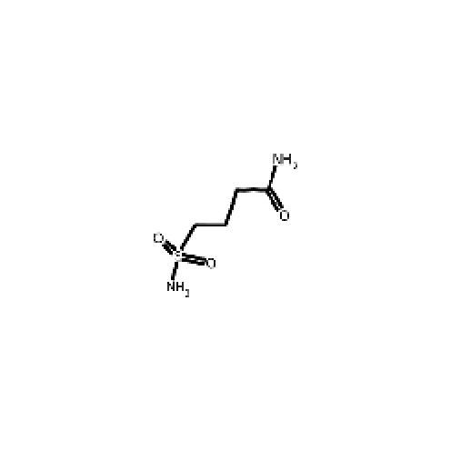 NC(=O)CCCS(N)(=O)=O